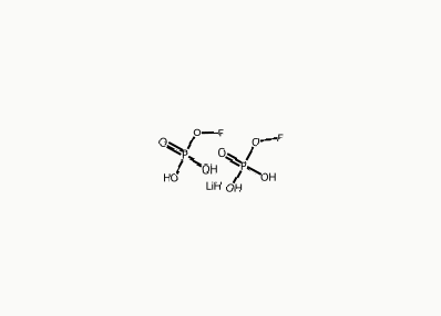 O=P(O)(O)OF.O=P(O)(O)OF.[LiH]